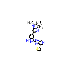 C=C(Nc1cncc(-c2ccc3[nH]nc(-c4nc5c(-c6cccs6)cncc5[nH]4)c3c2)c1)C(C)C